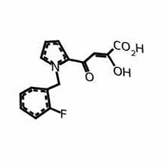 O=C(O)/C(O)=C/C(=O)c1cccn1Cc1ccccc1F